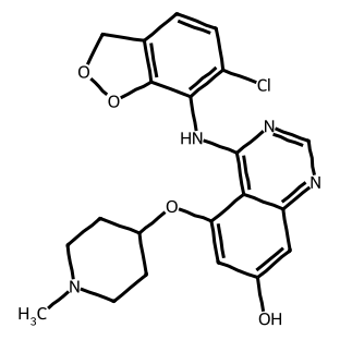 CN1CCC(Oc2cc(O)cc3ncnc(Nc4c(Cl)ccc5c4OOC5)c23)CC1